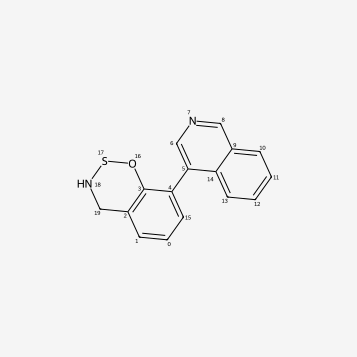 c1cc2c(c(-c3cncc4ccccc34)c1)OSNC2